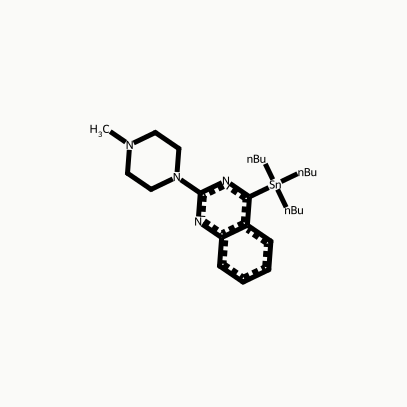 CCC[CH2][Sn]([CH2]CCC)([CH2]CCC)[c]1nc(N2CCN(C)CC2)nc2ccccc12